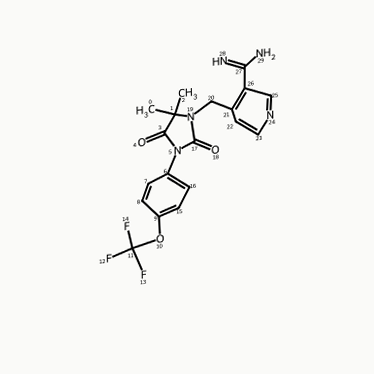 CC1(C)C(=O)N(c2ccc(OC(F)(F)F)cc2)C(=O)N1Cc1ccncc1C(=N)N